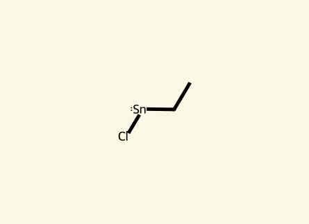 C[CH2][Sn][Cl]